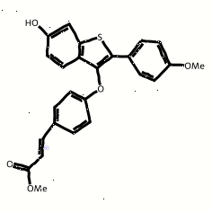 COC(=O)/C=C/c1ccc(Oc2c(-c3ccc(OC)cc3)sc3cc(O)ccc23)cc1